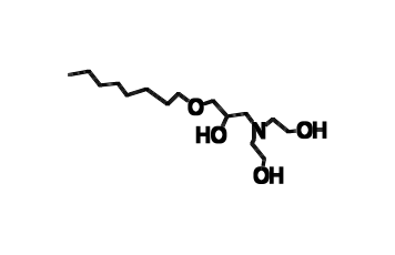 CCCCCCCCOCC(O)CN(CCO)CCO